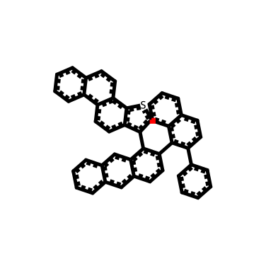 c1ccc(-c2ccc3ccccc3c2-c2ccc3cc4ccccc4cc3c2-c2csc3c2ccc2c4ccccc4ccc23)cc1